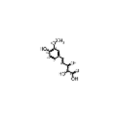 COc1cc(/C=C/C(=O)C(O)C(=O)O)ccc1O